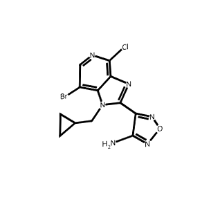 Nc1nonc1-c1nc2c(Cl)ncc(Br)c2n1CC1CC1